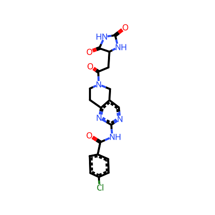 O=C1NC(=O)C(CC(=O)N2CCc3nc(NC(=O)c4ccc(Cl)cc4)ncc3C2)N1